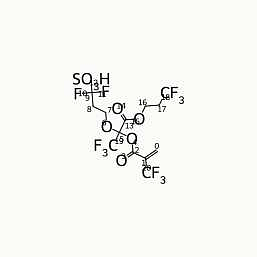 C=C(C(=O)OC(OCCC(F)(F)S(=O)(=O)O)(C(=O)OCCC(F)(F)F)C(F)(F)F)C(F)(F)F